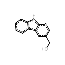 OCc1cnc2[nH]c3ccccc3c2c1